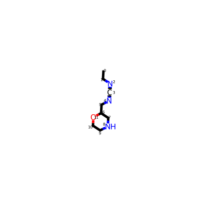 CCN=C=NCC1CNCCO1